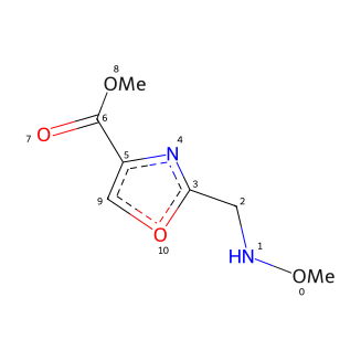 CONCc1nc(C(=O)OC)co1